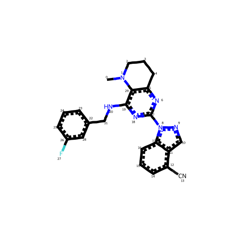 CN1CCCc2nc(-n3ncc4c(C#N)cccc43)nc(NCc3cccc(F)c3)c21